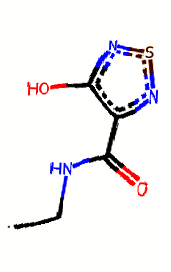 [CH2]CNC(=O)c1nsnc1O